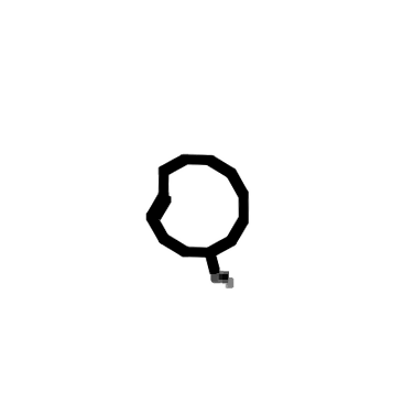 CC1CC/C=C/CCCCCCC1